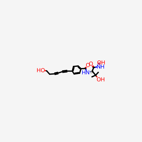 CC(C)(O)[C@H](NC(=O)c1ccc(C#CC#CCCO)cc1)C(=O)NO